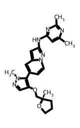 Cc1cc(Nc2cc3cc(-c4c(OC[C@]5(C)CCCO5)cnn4C)ccn3n2)nc(C)n1